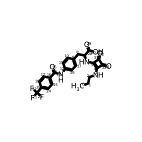 CCCNc1c(NC(Cc2ccc(NC(=O)c3ccc(C(F)(F)F)cc3)cc2)C(=O)O)c(=O)c1=O